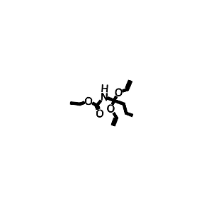 C=COC(CCC)(NC(=O)OCC)OC=C